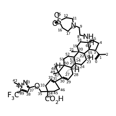 C=C(C)[C@@H]1CC[C@]2(NCCN3CCS(=O)(=O)CC3)CC[C@]3(C)[C@H](CC[C@@H]4[C@@]5(C)CC=C(C6=CCC(COc7cc(C(F)(F)F)n(C)n7)(C(=O)O)CC6)C(C)(C)[C@@H]5CC[C@]43C)[C@@H]12